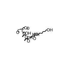 C=CC(=O)O.C=CC(=O)O.C=CC(=O)O.O=C=CC(=C=O)C=C=O.OCCCCCCO